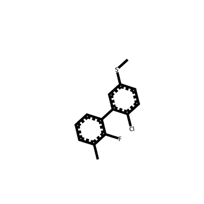 CSc1ccc(Cl)c(-c2cccc(C)c2F)c1